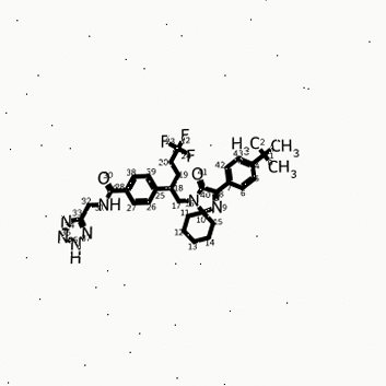 CC(C)(C)c1ccc(C2=NC3(CCCCC3)N(CC(CCC(F)(F)F)c3ccc(C(=O)NCc4nn[nH]n4)cc3)C2=O)cc1